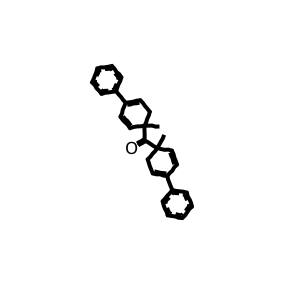 CC1(C(=O)C2(C)C=CC(c3ccccc3)=CC2)C=CC(c2ccccc2)=CC1